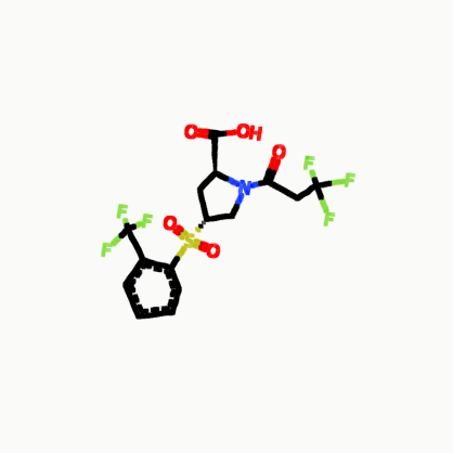 O=C(O)[C@@H]1C[C@@H](S(=O)(=O)c2ccccc2C(F)(F)F)CN1C(=O)CC(F)(F)F